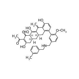 C=C1C2=C(O)[C@]3(O)C(=O)C(C(C)=O)=C(O)C[C@@H]3C[C@@H]2Cc2c(-c3cc(CNCc4cccc(C)c4)ccc3OC)ccc(O)c21